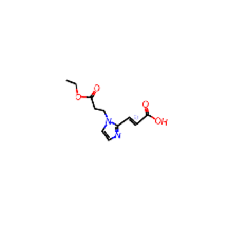 CCOC(=O)CCn1ccnc1/C=C/C(=O)O